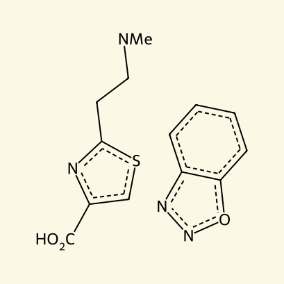 CNCCc1nc(C(=O)O)cs1.c1ccc2onnc2c1